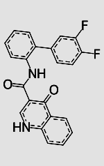 O=C(Nc1ccccc1-c1ccc(F)c(F)c1)c1c[nH]c2ccccc2c1=O